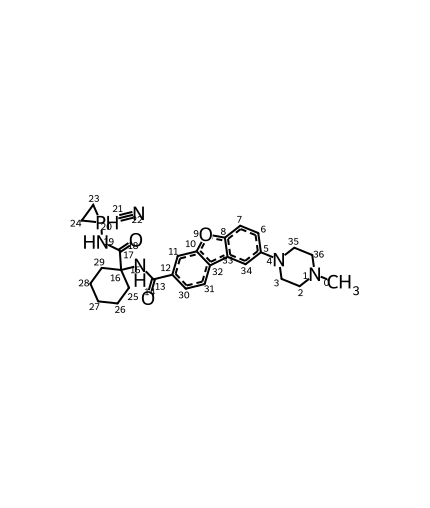 CN1CCN(c2ccc3oc4cc(C(=O)NC5(C(=O)N[PH]6(C#N)CC6)CCCCC5)ccc4c3c2)CC1